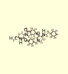 C=C1CCC(N2Cc3cc(OC4CN(Cc5ccccc5)CCC4NCCc4ccccc4)ccc3C2=O)C(=O)N1